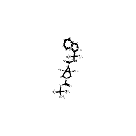 CC(C)(C)OC(=O)N1C[C@@H]2[C@H](C1)[C@H]2C(=O)NC(C)(C)c1ncc2ccccn12